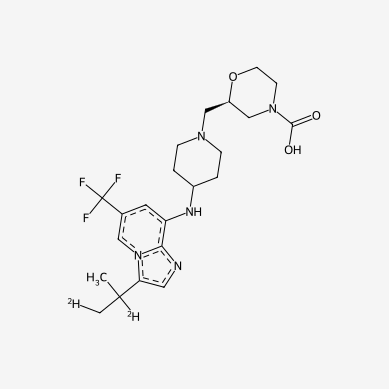 [2H]CC([2H])(C)c1cnc2c(NC3CCN(C[C@@H]4CN(C(=O)O)CCO4)CC3)cc(C(F)(F)F)cn12